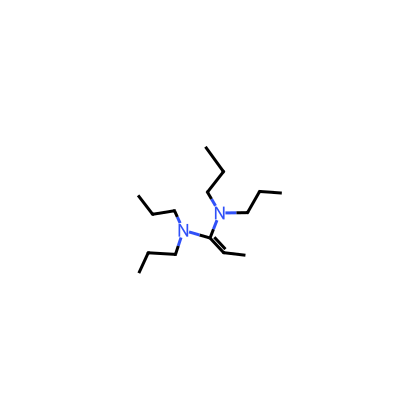 CC=C(N(CCC)CCC)N(CCC)CCC